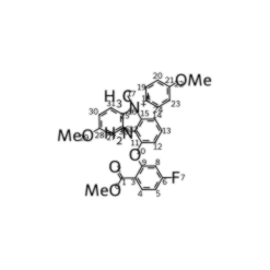 COC(=O)c1ccc(F)cc1Oc1cccc([N+](C)(c2ccc(OC)cc2)c2ccc(OC)cc2)c1N